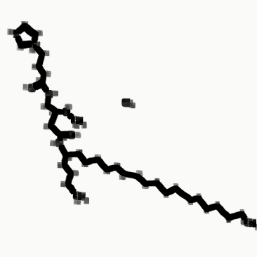 CCCCCCCCCCCCCCCCCCC(CCCC)OC(=O)CC(COC(=O)CCC[n+]1ccsc1)OC.[Cl-]